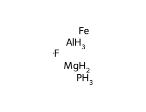 P.[AlH3].[F].[Fe].[MgH2]